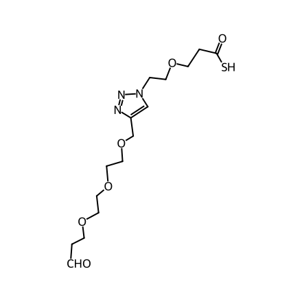 O=CCCOCCOCCOCc1cn(CCOCCC(=O)S)nn1